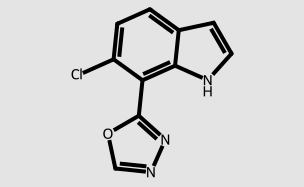 Clc1ccc2cc[nH]c2c1-c1nnco1